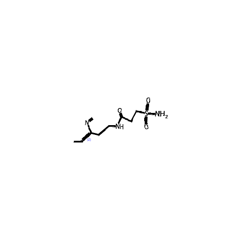 C=N/C(=C\C)CCNC(=O)CCS(N)(=O)=O